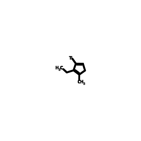 CCC1=C(C)CC=[C]1[Ti]